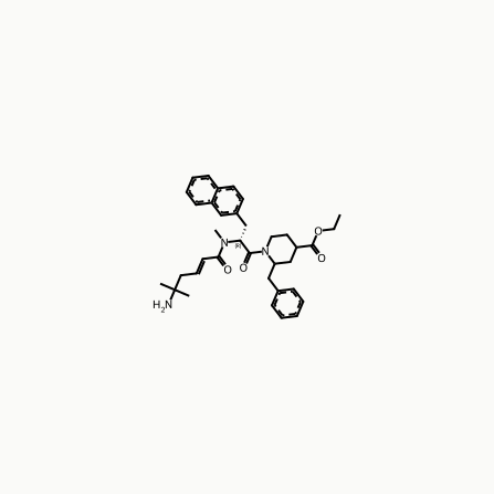 CCOC(=O)C1CCN(C(=O)[C@@H](Cc2ccc3ccccc3c2)N(C)C(=O)C=CCC(C)(C)N)C(Cc2ccccc2)C1